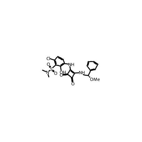 CO[C@@H](CNc1c(Nc2ccc(Cl)c(S(=O)(=O)N(C)C)c2O)c(=O)c1=O)c1ccccc1